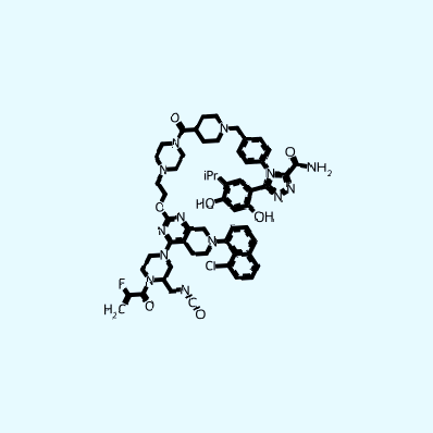 C=C(F)C(=O)N1CCN(c2nc(OCCN3CCN(C(=O)C4CCN(Cc5ccc(-n6c(C(N)=O)nnc6-c6cc(C(C)C)c(O)cc6O)cc5)CC4)CC3)nc3c2CCN(c2cccc4cccc(Cl)c24)C3)CC1CN=C=O